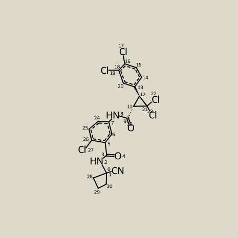 N#CC1(NC(=O)c2cc(NC(=O)[C@@H]3[C@@H](c4ccc(Cl)c(Cl)c4)C3(Cl)Cl)ccc2Cl)CCC1